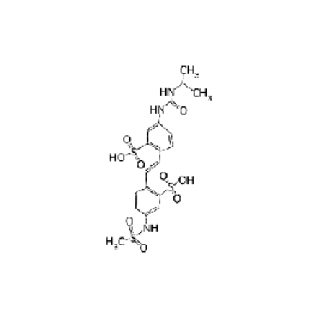 CC(C)NC(=O)Nc1ccc(C=Cc2ccc(NS(C)(=O)=O)cc2S(=O)(=O)O)c(S(=O)(=O)O)c1